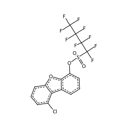 O=S(=O)(Oc1cccc2c1oc1cccc(Cl)c12)C(F)(F)C(F)(F)C(F)(F)C(F)(F)F